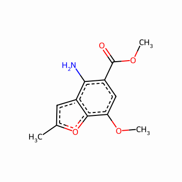 COC(=O)c1cc(OC)c2oc(C)cc2c1N